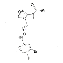 CC(C)C(=O)Nc1nonc1/C=N/ONc1ccc(F)c(Br)c1